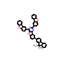 CC1(C)c2ccccc2-c2ccc(-c3ccc4oc5c(-c6ccc7oc8ccccc8c7c6)nc(-c6ccc7oc8ccccc8c7c6)nc5c4c3)cc21